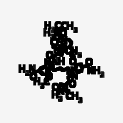 CCn1nc(C)cc1C(=O)Cc1nc2cc(C(N)=O)cc(OCCCC3CCN(C(=O)OC(C)(C)C)CC3)c2n1C/C=C/Cn1c(NC(=O)c2cc(C)nn2CC)nc2cc(C(N)=O)cc(OC)c21